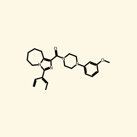 C=C/C(=C\C)c1nc(C(=O)N2CCN(c3cccc(OC)c3)CC2)c2n1CCCCC2